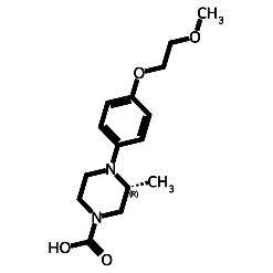 COCCOc1ccc(N2CCN(C(=O)O)C[C@H]2C)cc1